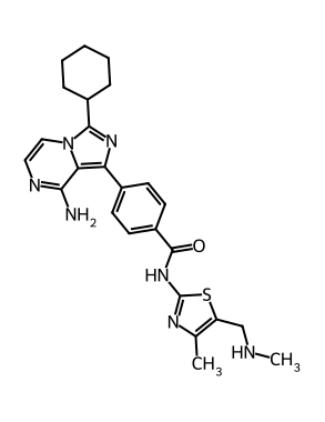 CNCc1sc(NC(=O)c2ccc(-c3nc(C4CCCCC4)n4ccnc(N)c34)cc2)nc1C